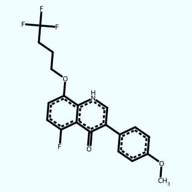 COc1ccc(-c2c[nH]c3c(OCCCC(F)(F)F)ccc(F)c3c2=O)cc1